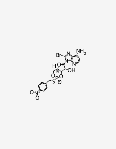 Nc1ccnc2c1nc(Br)n2[C@@H]1O[C@@H]2COP(=O)(SCc3ccc([N+](=O)[O-])cc3)OC2C1O